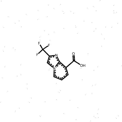 O=C(O)c1cccn2cc(C(F)(F)F)nc12